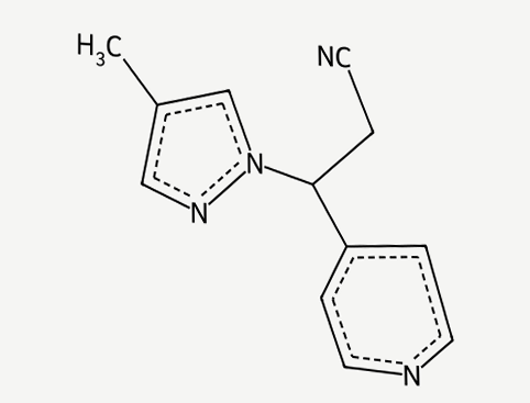 Cc1cnn(C(CC#N)c2ccncc2)c1